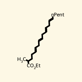 CCCCCC=CCC=CCC=CCC=CCCC(C)C(=O)OCC